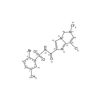 Cc1ccc(Br)c(S(=O)(=O)NC(=O)C2=C[N+]3CN(C(F)(F)F)C=C(Cl)C3=N2)c1